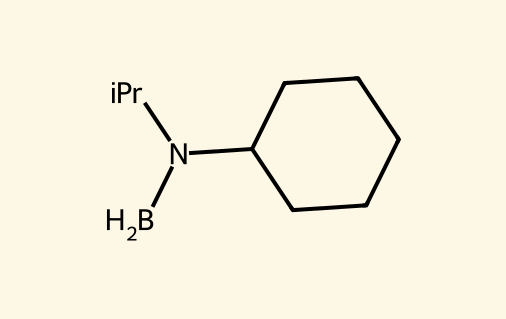 BN(C(C)C)C1CCCCC1